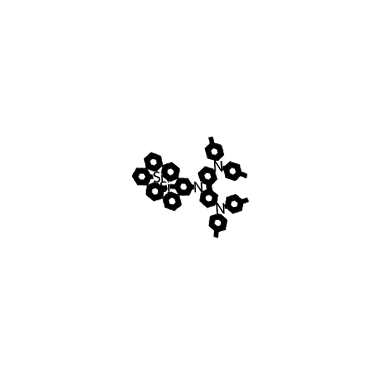 Cc1ccc(N(c2ccc(C)cc2)c2ccc3c(c2)c2cc(N(c4ccc(C)cc4)c4ccc(C)cc4)ccc2n3-c2ccc([Si]3(c4ccccc4)c4ccccc4[Si](c4ccccc4)(c4ccccc4)c4ccccc43)cc2)cc1